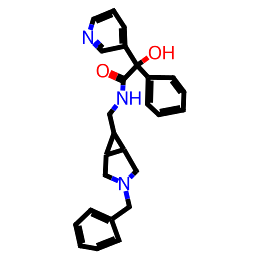 O=C(NCC1C2CN(Cc3ccccc3)CC12)C(O)(c1ccccc1)c1cccnc1